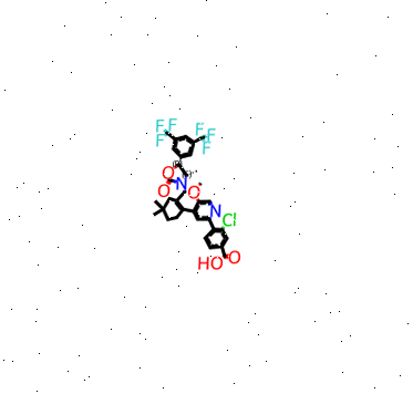 COc1cnc(-c2ccc(C(=O)O)cc2Cl)cc1C1=C(CN2C(=O)O[C@H](c3cc(C(F)(F)F)cc(C(F)(F)F)c3)[C@@H]2C)CC(C)(C)CC1